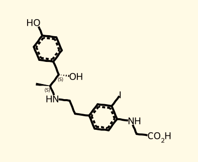 C[C@H](NCCc1ccc(NCC(=O)O)c(I)c1)[C@@H](O)c1ccc(O)cc1